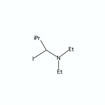 CCN(CC)C(I)C(C)C